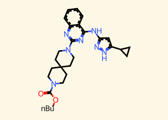 CCCCOC(=O)N1CCC2(CC1)CCN(c1nc(Nc3cc(C4CC4)[nH]n3)c3ccccc3n1)CC2